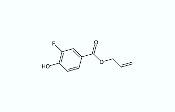 C=CCOC(=O)c1ccc(O)c(F)c1